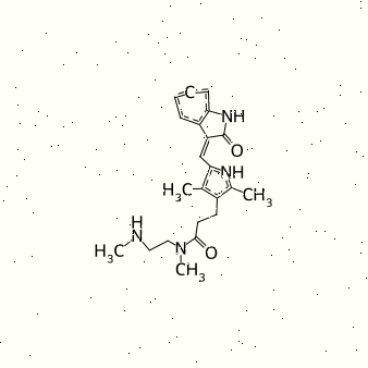 CNCCN(C)C(=O)CCc1c(C)[nH]c(C=C2C(=O)Nc3ccccc32)c1C